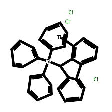 [Cl-].[Cl-].[Cl-].[Ti+3][c]1cccc2c1C([Si](c1ccccc1)(c1ccccc1)c1ccccc1)c1ccccc1-2